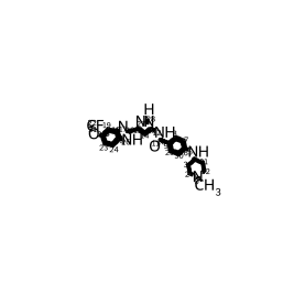 CN1CCC(Nc2ccc(C(=O)Nc3cc(-c4nc5cc(OC(F)(F)F)ccc5[nH]4)n[nH]3)cc2)CC1